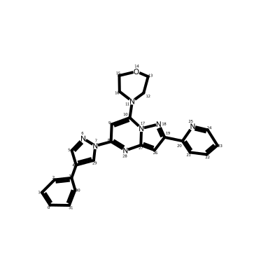 c1ccc(-c2cnn(-c3cc(N4CCOCC4)n4nc(-c5ccccn5)cc4n3)c2)cc1